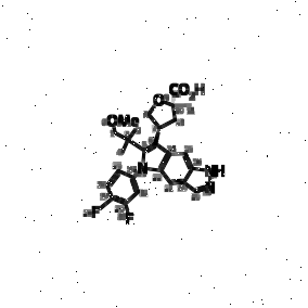 COCC(C)(C)c1c([C@H]2CO[C@](C)(C(=O)O)C2)c2cc3[nH]ncc3cc2n1-c1ccc(F)c(F)c1